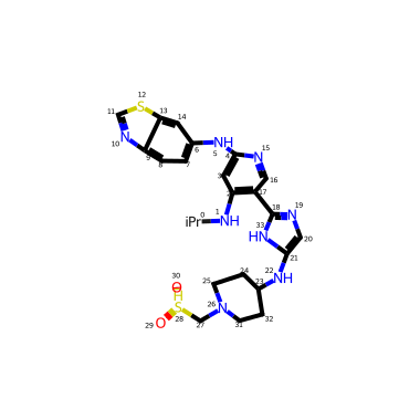 CC(C)Nc1cc(Nc2ccc3ncsc3c2)ncc1-c1ncc(NC2CCN(C[SH](=O)=O)CC2)[nH]1